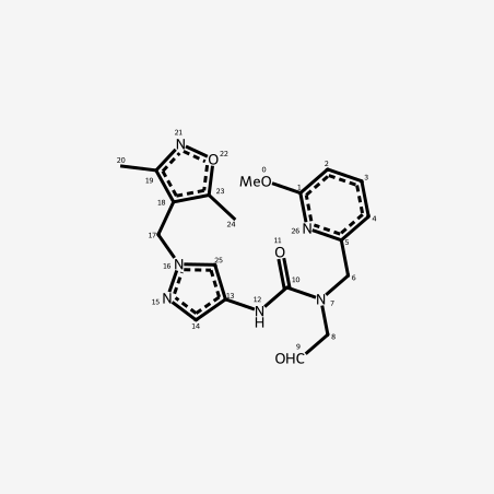 COc1cccc(CN(CC=O)C(=O)Nc2cnn(Cc3c(C)noc3C)c2)n1